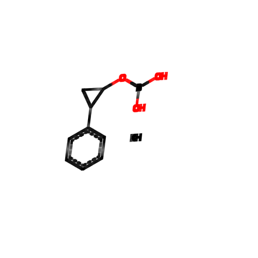 OB(O)OC1CC1c1ccccc1.[KH]